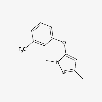 Cc1cc(Oc2cccc(C(F)(F)F)c2)n(C)n1